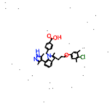 Cc1cc(OCCCc2c(C)n(Cc3ccc(C(=O)O)cc3)c3c(-c4c(C)n[nH]c4C)cccc23)cc(C)c1Cl